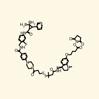 BC1(B)C(C(=O)Nc2ccc(CNC(=O)c3ccc(N4CCN(C(=O)CCSSC(C)(C)CC(=O)N/N=C5\CCN(C)c6cc(OCCCC(=O)ON7C(=O)CCC7=O)ccc65)CC4)cc3)c(F)c2)C1c1cccnc1